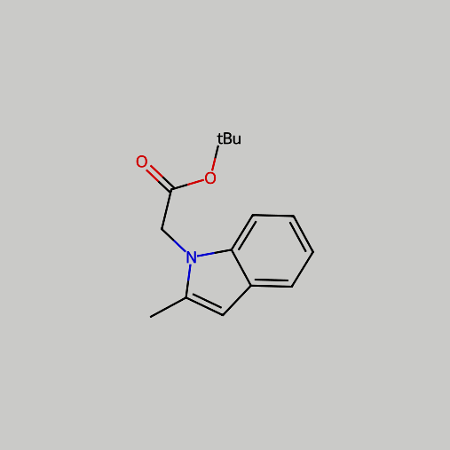 Cc1cc2ccccc2n1CC(=O)OC(C)(C)C